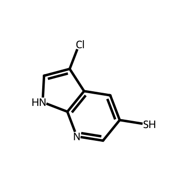 Sc1cnc2[nH]cc(Cl)c2c1